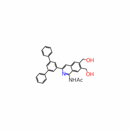 CC(=O)Nc1nc(-c2cc(-c3ccccc3)cc(-c3ccccc3)c2)cc2cc(CO)c(CO)cc12